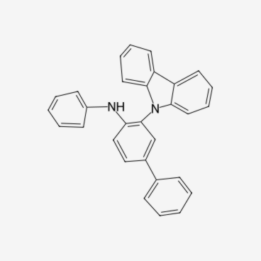 c1ccc(Nc2ccc(-c3ccccc3)cc2-n2c3ccccc3c3ccccc32)cc1